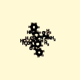 CN(C)N(C)C(=O)[C@@]1(Cc2ccccc2)CCCN(C(=O)[C@@H](Cc2c[nH]c3ccccc23)NC(=O)C(C)(C)N)C1.Cl